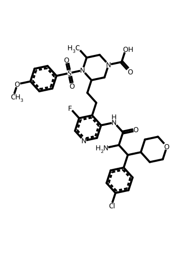 COc1ccc(S(=O)(=O)N2C(C)CN(C(=O)O)CC2CCc2c(F)cncc2NC(=O)C(N)C(c2ccc(Cl)cc2)C2CCOCC2)cc1